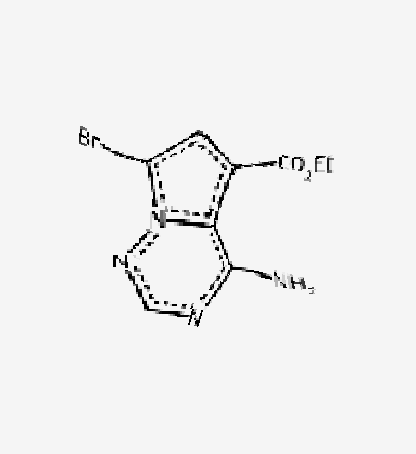 CCOC(=O)c1cc(Br)n2ncnc(N)c12